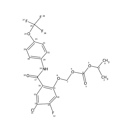 CC(C)OC(=O)OCOc1cc(F)c(Cl)cc1C(=O)Nc1ccc(OC(F)(F)F)cc1